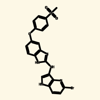 CS(=O)(=O)c1ccc(Oc2ccc3[nH]c(Nc4c[nH]c5ccc(Br)nc45)nc3c2)cc1